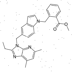 CCc1nc2c(C)cc(C)nc2n1Cc1ccc2c(ccn2Cc2ccccc2C(=O)OC)c1